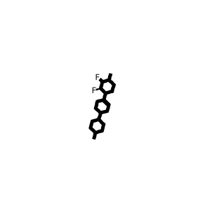 CC1CCC(C2CC=C(C3CCC(C)C(F)[C@@H]3F)CC2)CC1